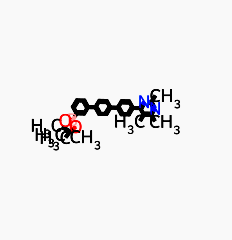 Cc1nc(C)c(C)c(-c2ccc(-c3ccc(-c4cccc(B5OC(C)(C)C(C)(C)O5)c4)cc3)cc2)n1